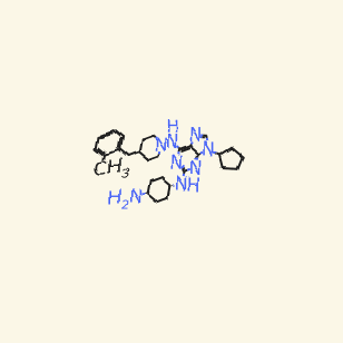 Cc1ccccc1CC1CCN(Nc2nc(N[C@H]3CC[C@H](N)CC3)nc3c2ncn3C2CCCC2)CC1